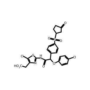 O=C(O)Cc1nc(NC(=O)C(Oc2ccc(Cl)cc2)c2ccc(S(=O)(=O)C3CCC(=O)C3)cc2)sc1Cl